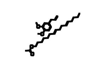 C=CCc1ccc(OC)c(OC)c1.CCCCC=CCCC=CCCCCCCOC(C)=O